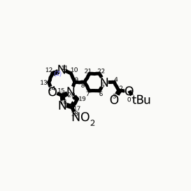 CC(C)(C)OC(=O)CN1CCC(C2C/N=C\COc3nc([N+](=O)[O-])cn32)CC1